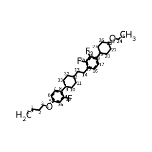 C=CCCOc1ccc(C2CCC(CCc3ccc(C4CCC(OCC)CC4)c(F)c3F)CC2)c(F)c1